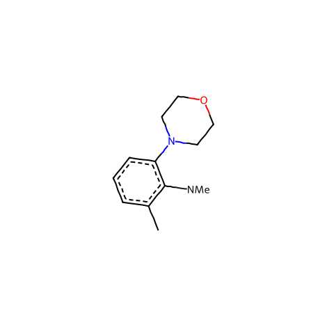 CNc1c(C)cccc1N1CCOCC1